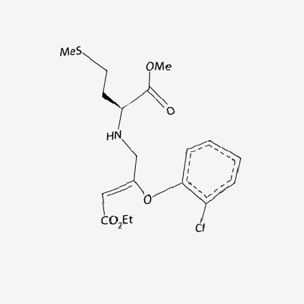 CCOC(=O)/C=C(/CN[C@@H](CCSC)C(=O)OC)Oc1ccccc1Cl